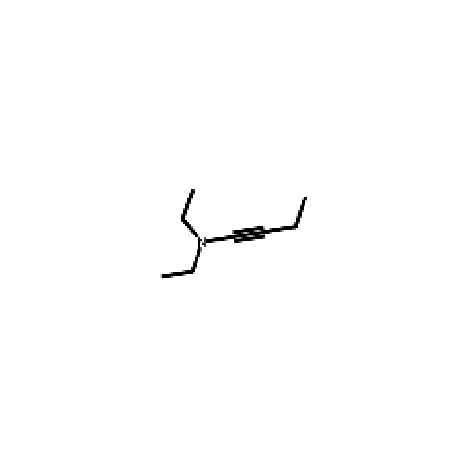 CCC#CN(CC)CC